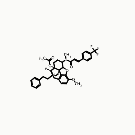 COc1ccc2c3c1OC1C(N(C)C(=O)/C=C/c4ccc(C(F)(F)F)cc4)CC[C@@]4(OC(C)=O)[C@@H](C2)N(CCc2ccccc2)CC[C@]314